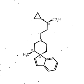 C[C@H]1CN(CC[C@H](C(=O)O)C2CC2)CC[C@@]12C=Cc1ccccc12